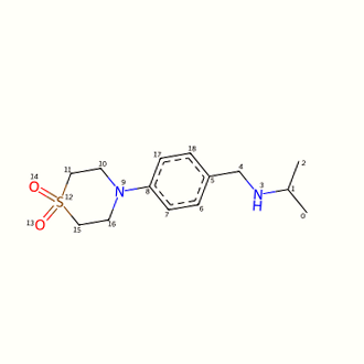 CC(C)NCc1ccc(N2CCS(=O)(=O)CC2)cc1